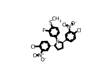 CSc1ccc(N2[C@@H](c3ccc(Cl)c([N+](=O)[O-])c3)CC[C@@H]2c2ccc(Cl)c([N+](=O)[O-])c2)cc1F